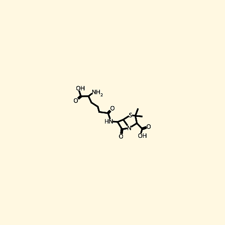 CC1(C)SC2C(NC(=O)CCCC(N)C(=O)O)C(=O)N2C1C(=O)O